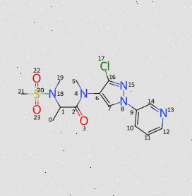 CC(C(=O)N(C)c1cn(-c2cccnc2)nc1Cl)N(C)S(C)(=O)=O